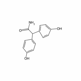 NC(=O)C(c1ccc(O)cc1)c1ccc(O)cc1